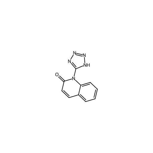 O=c1ccc2ccccc2n1-c1nnn[nH]1